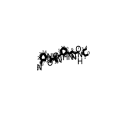 CCC(CC)NC(=O)c1cc(-c2cccc(-c3ncc(C(=O)Nc4cccc(C#N)c4)o3)c2)[nH]n1